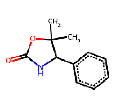 CC1(C)OC(=O)NC1c1ccccc1